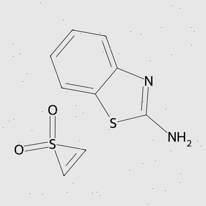 Nc1nc2ccccc2s1.O=S1(=O)C=C1